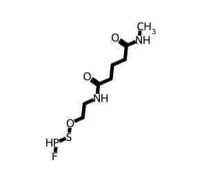 CNC(=O)CCCC(=O)NCCOSPF